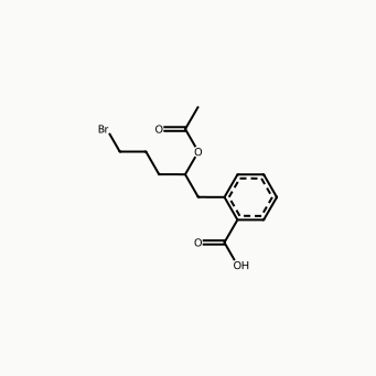 CC(=O)OC(CCCBr)Cc1ccccc1C(=O)O